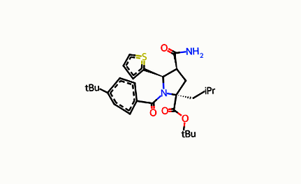 CC(C)C[C@@]1(C(=O)OC(C)(C)C)C[C@H](C(N)=O)[C@H](c2cccs2)N1C(=O)c1ccc(C(C)(C)C)cc1